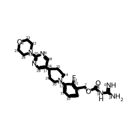 N=C(N)NC(=O)OCc1cccc(N2CCC(c3cnc(N4CCOCC4)nc3)CC2)c1F